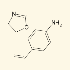 C=Cc1ccc(N)cc1.[C]1=NCCO1